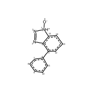 [O-][NH+]1N=Nc2c(-c3ccccc3)cccc21